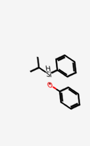 CC(C)[SiH](Oc1ccccc1)c1ccccc1